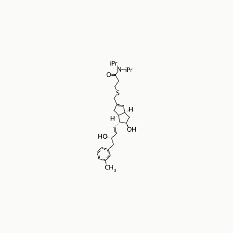 Cc1cccc(C[C@H](O)/C=C/[C@@H]2[C@H]3CC(CSCCC(=O)N(C(C)C)C(C)C)=C[C@H]3C[C@H]2O)c1